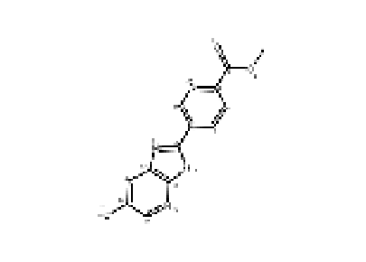 COC(=O)c1ccc(-c2nc3cc(O)cnc3o2)cn1